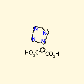 O=C(O)c1cc(C(=O)O)cc(C2=CC3=CC4=NC(=CC5=NC(=CC6=NC(=CC2=N3)C=C6)C=C5)C=C4)c1